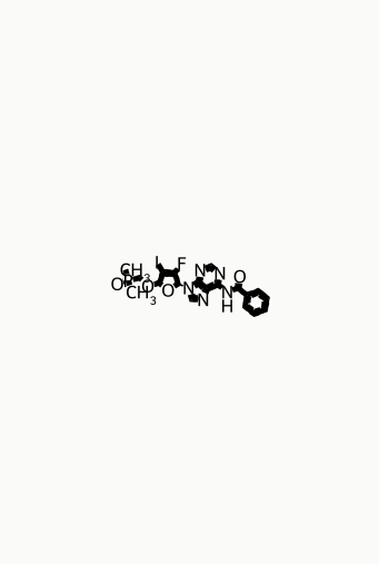 CP(C)(=O)COC1O[C@@H](n2cnc3c(NC(=O)c4ccccc4)ncnc32)C(F)=C1I